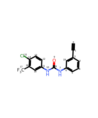 C#Cc1cccc(NC(=O)Nc2ccc(Cl)c(C(F)(F)F)c2)c1